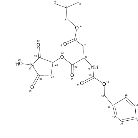 CC(C)COC(=O)C[C@H](NC(=O)OCc1ccccc1)C(=O)OC1CC(=O)N(O)C1=O